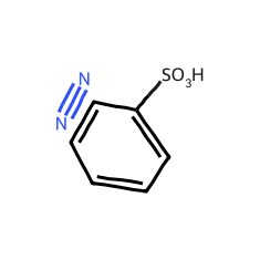 N#N.O=S(=O)(O)c1ccccc1